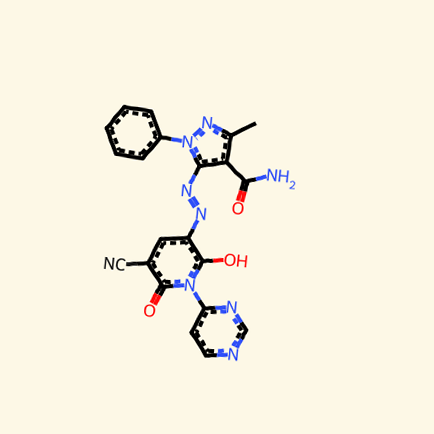 Cc1nn(-c2ccccc2)c(/N=N/c2cc(C#N)c(=O)n(-c3ccncn3)c2O)c1C(N)=O